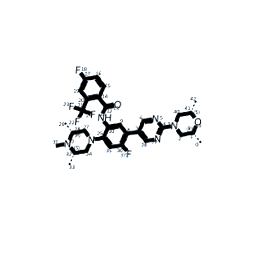 C[C@@H]1CN(c2ncc(-c3cc(NC(=O)c4ccc(F)cc4C(F)(F)F)c(N4C[C@@H](C)N(C)[C@@H](C)C4)cc3F)cn2)C[C@H](C)O1